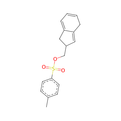 Cc1ccc(S(=O)(=O)OCC2C=C3CC=CC=C3C2)cc1